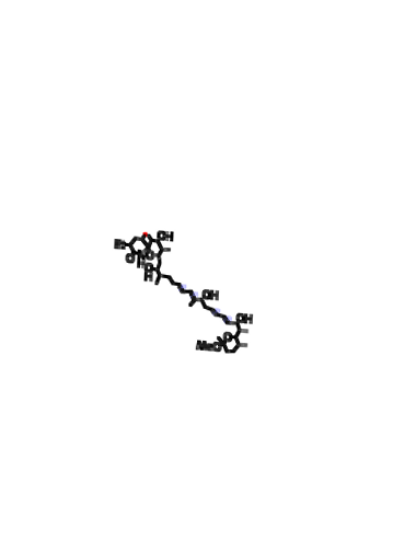 CCC1CC(C)C2(NC1=O)OC(CC(O)C(C)CC/C=C/C=C(\C)C(O)C/C=C/C=C/C(O)C(C)C1OC(C)(OC)CCC1C)C(C)C(O)C2C